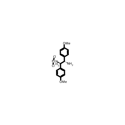 COc1ccc([C@@H](N)[C@@H](N)c2ccc(OC)cc2)cc1.[Cl][Pt][Cl]